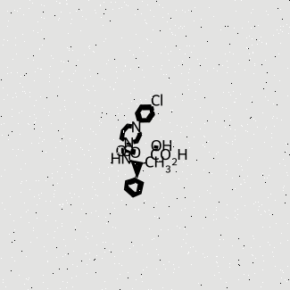 C[C@H]1[C@H](NS(=O)(=O)N2CCCN(c3ccc(Cl)cc3)CC2)[C@H]1c1ccccc1.O=C(O)O